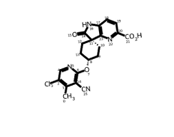 Cc1c(Cl)cnc(O[C@H]2CC[C@]3(CC2)C(=O)Nc2ccc(C(=O)O)nc23)c1C#N